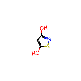 Oc1cc(O)sn1